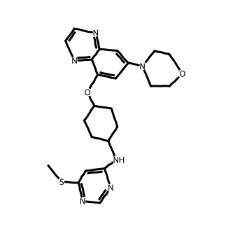 CSc1cc(NC2CCC(Oc3cc(N4CCOCC4)cc4nccnc34)CC2)ncn1